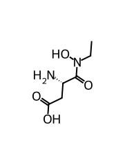 CCN(O)C(=O)[C@@H](N)CC(=O)O